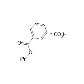 CC(C)OC(=O)c1cccc(C(=O)O)c1